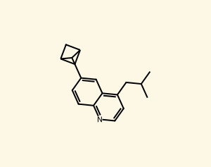 CC(C)Cc1ccnc2ccc(C3C4CC3C4)cc12